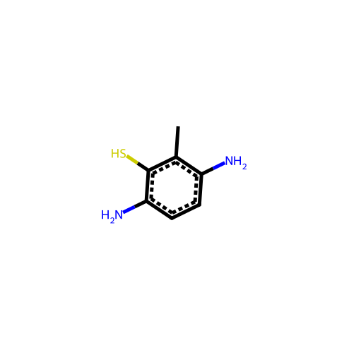 Cc1c(N)ccc(N)c1S